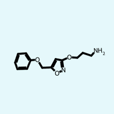 NCCCOc1cc(COc2ccccc2)on1